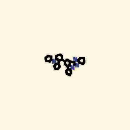 c1ccc(-n2c3ccccc3c3c(-c4cc5c6ccccc6n6c7nc8ccccc8nc7c(c4)c56)cccc32)cc1